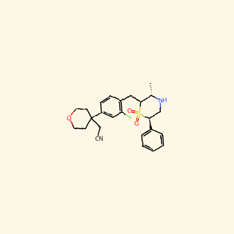 C[C@@H]1NC[C@@H](c2ccccc2)S(=O)(=O)C1Cc1ccc(C2(CC#N)CCOCC2)cc1F